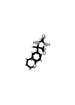 CC1(c2ccc3c(c2)CCCO3)NC(=O)NC1=O